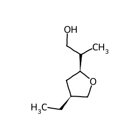 CC[C@@H]1CO[C@H](C(C)CO)C1